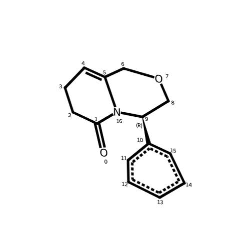 O=C1CCC=C2COC[C@@H](c3ccccc3)N12